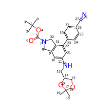 CC(C)(C)OC(=O)N1Cc2cc(NCC3COC(C)(C)O3)cc(-c3ccc(C#N)cc3)c2C1